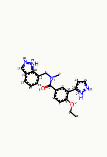 CCOc1ccc(C(=O)N(C)Cc2cccc3cn[nH]c23)cc1-c1ccn[nH]1